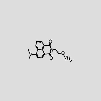 CN(C)c1ccc2c3c(cccc13)C(=O)N(CCON)C2=O